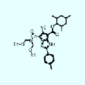 [C-]#[N+]c1c(C(=O)OC2C(C)CC(C)CC2C)c2[nH]c(-c3ccc(C)cc3)nn2[c]1[Co](=[O])[N](COCC)COCC